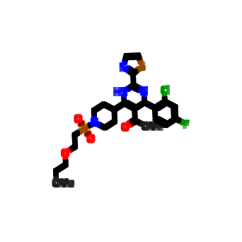 COCCOCCS(=O)(=O)N1CCC(C2=C(C(=O)OC)C(c3ccc(F)cc3Cl)N=C(c3nccs3)N2)CC1